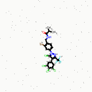 CC(C)C(=O)NCc1ccc(-n2nc(C(F)(F)F)c(-c3cc(Cl)c(Cl)c(Cl)c3)c2Cl)cc1Br